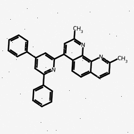 Cc1ccc2ccc3c(-c4cc(-c5ccccc5)cc(-c5ccccc5)n4)cc(C)nc3c2n1